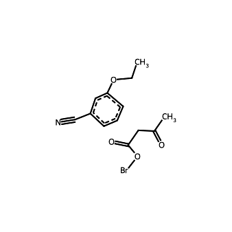 CC(=O)CC(=O)OBr.CCOc1cccc(C#N)c1